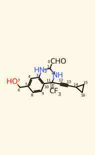 O=CC1Nc2cc(CO)ccc2[C@@](C#CC2CC2)(C(F)(F)F)N1